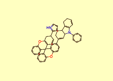 C1=CC2=C(CC1)C1CCC(c3ccc4c(c3)C3(C5=C(CC(c6ccc[nH]6)C=C5)Oc5ccccc53)c3ccccc3O4)=CC1N2c1ccccc1